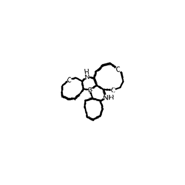 C1CCCCC2NC3CCCCCCC3B3C4CCCCCCCC4NC(CCC1)C32